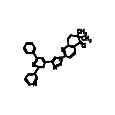 CC1(C)CCc2nc(-n3cnc(-c4cc(-c5ccccc5)nc(-c5cccnc5)c4)c3)ccc2C1=O